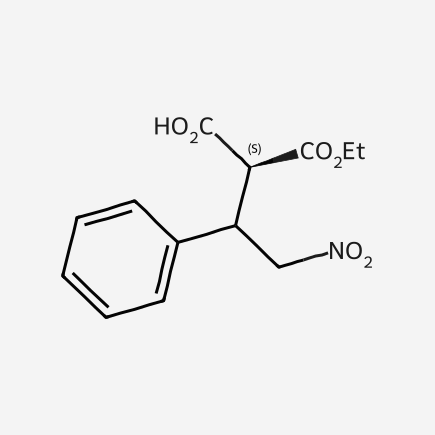 CCOC(=O)[C@H](C(=O)O)C(C[N+](=O)[O-])c1ccccc1